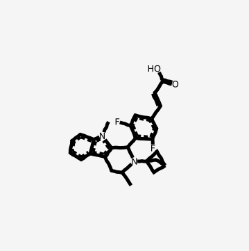 CC1Cc2c(n(C)c3ccccc23)C(c2c(F)cc(/C=C/C(=O)O)cc2F)N1C12CC(C1)C2